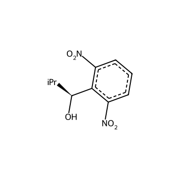 CC(C)[C@H](O)c1c([N+](=O)[O-])cccc1[N+](=O)[O-]